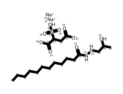 CCCCCCCCCCCC(=O)NNCC(C)O.O=C([O-])CC(C(=O)[O-])S(=O)(=O)O.[Na+].[Na+]